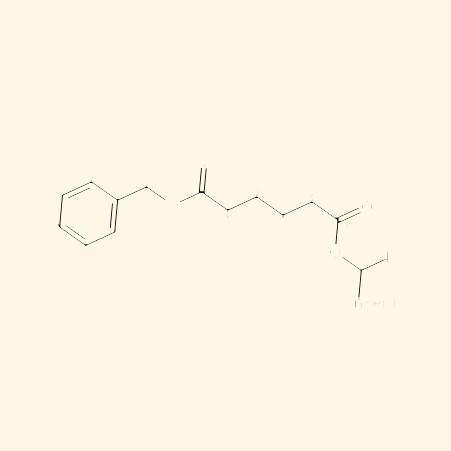 CCCCCC(CC)OC(=O)CCCCC(=O)OCc1ccccc1